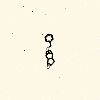 c1ccc(COC2C3CCC2C2C3CC3OC32)cc1